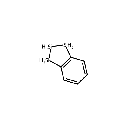 [c]1cccc2c1[SiH2][SiH2][SiH2]2